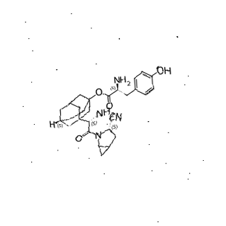 N#C[C@@H]1CC2CC2N1C(=O)[C@@H](N)C12CC3C[C@H](CC(OC(=O)[C@@H](N)Cc4ccc(O)cc4)(C3)C1)C2